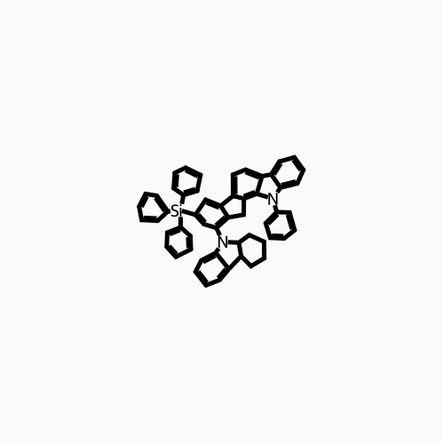 c1ccc(-n2c3ccccc3c3ccc4c(c32)Cc2c-4cc([Si](c3ccccc3)(c3ccccc3)c3ccccc3)cc2N2c3ccccc3C3CCCCC32)cc1